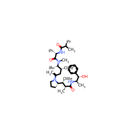 C=C(C[C@@H](OC)C([C@@H](C)CC)N(C)C(=O)[C@@H](NC(=O)C(C)C(C)C)C(C)C)N1CCC[C@H]1[C@H](OC)[C@@H](C)C(=O)N[C@H](C)[C@@H](O)c1ccccc1